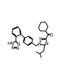 CC(C)Cc1nc(C(=O)C2CCCCC2)nn1Cc1ccc(-c2ccccc2-c2nnn[nH]2)cc1